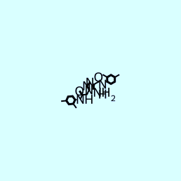 Cc1ccc(NC(=O)Cn2nnc(C(=O)Nc3ccc(C)cc3C)c2N)c(C)c1